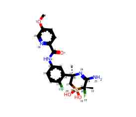 COc1ccc(C(=O)Nc2ccc(F)c([C@]3(C)CS(O)(O)[C@@](C)(F)C(N)=N3)c2)nc1